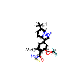 COc1cc(-c2cnn3cc(C(C)(C)C#N)ccc23)cc(OC(F)F)c1C(=O)NS